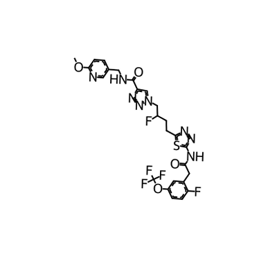 COc1ccc(CNC(=O)c2cn(CC(F)CCc3nnc(NC(=O)Cc4cc(OC(F)(F)F)ccc4F)s3)nn2)cn1